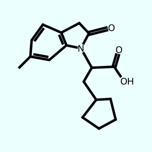 Cc1ccc2c(c1)N(C(CC1CCCC1)C(=O)O)C(=O)C2